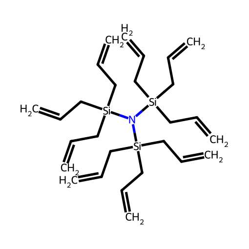 C=CC[Si](CC=C)(CC=C)N([Si](CC=C)(CC=C)CC=C)[Si](CC=C)(CC=C)CC=C